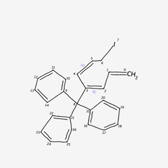 C=C/C=C(\C=C/CI)C(c1ccccc1)(c1ccccc1)c1ccccc1